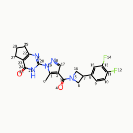 Cc1c(C(=O)N2CC(c3ccc(F)c(F)c3)C2)cnn1-c1nc2c(c(=O)[nH]1)CCC2